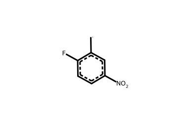 [CH2]c1cc([N+](=O)[O-])ccc1F